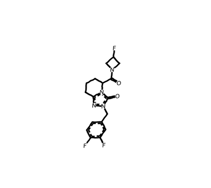 O=C(C1CCCc2nn(Cc3ccc(F)c(F)c3)c(=O)n21)N1CC(F)C1